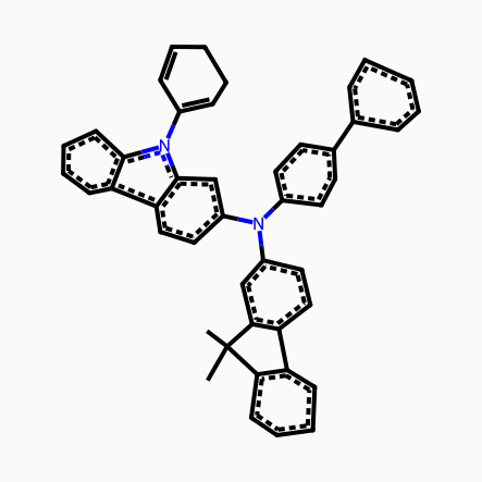 CC1(C)c2ccccc2-c2ccc(N(c3ccc(-c4ccccc4)cc3)c3ccc4c5ccccc5n(C5=CCCC=C5)c4c3)cc21